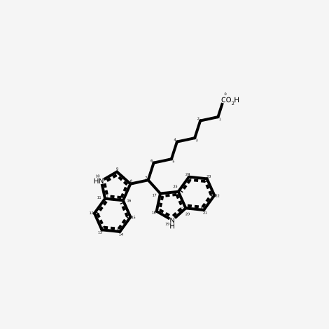 O=C(O)CCCCCCC(c1c[nH]c2ccccc12)c1c[nH]c2ccccc12